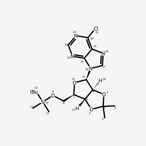 CC1(C)O[C@H]2[C@H](O1)[C@@H](CO[Si](C)(C)C(C)(C)C)O[C@H]2n1cnc2c(Cl)ncnc21